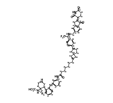 CC1(NC(=O)O)CCNCC1c1nccnc1Sc1cccc(NC(=O)CCCCCCN2CC3(CCN(c4ccc(C(NCc5ccc6c(c5)CN(C5CCC(=O)NC5=O)C6=O)C(F)(F)F)nn4)C3)C2)c1